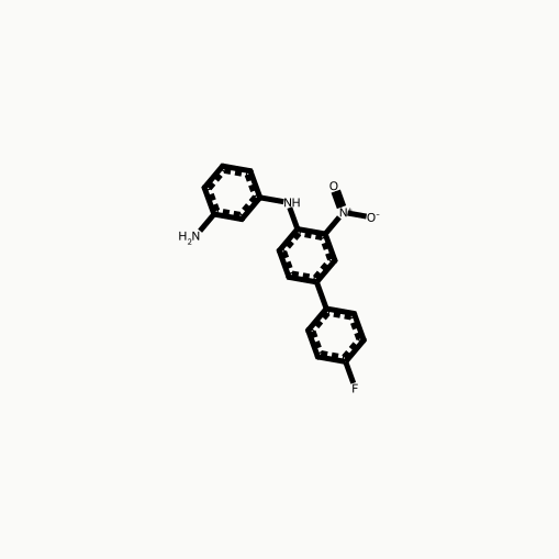 Nc1cccc(Nc2ccc(-c3ccc(F)cc3)cc2[N+](=O)[O-])c1